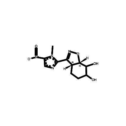 Cn1c([N+](=O)[O-])cnc1C1=NO[C@@H]2C(O)C(O)CC[C@H]12